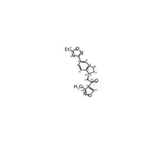 CCc1nc(-c2ccc3c(c2)CC[C@H]3CC(=O)c2conc2C)no1